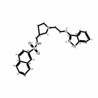 O=S(=O)(NCC1CCN(CCOc2nsc3ccccc23)C1)c1ccc2ccccc2c1